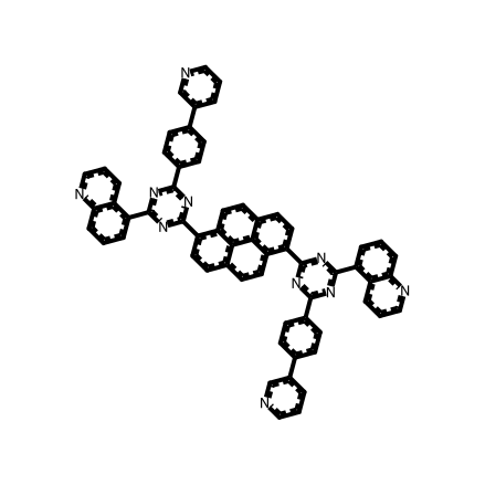 c1cncc(-c2ccc(-c3nc(-c4cccc5ncccc45)nc(-c4ccc5ccc6c(-c7nc(-c8ccc(-c9cccnc9)cc8)nc(-c8cccc9ncccc89)n7)ccc7ccc4c5c76)n3)cc2)c1